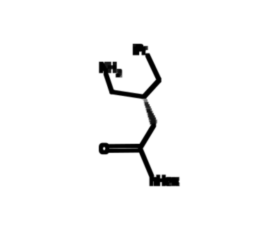 CCCCCCC(=O)C[C@H](CN)CC(C)C